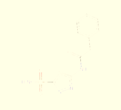 NS(=O)(=O)c1nnc(NC(=O)Cc2ccccc2)s1